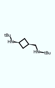 CC(C)(C)NC[C@H]1C[C@@H](NC(C)(C)C)C1